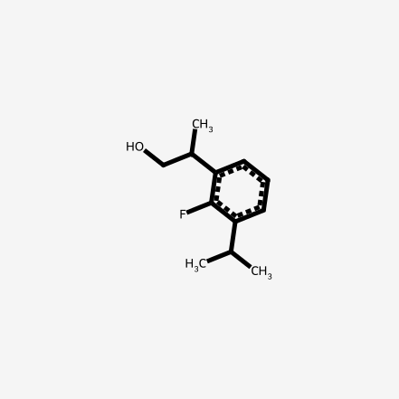 C[C](CO)c1cccc(C(C)C)c1F